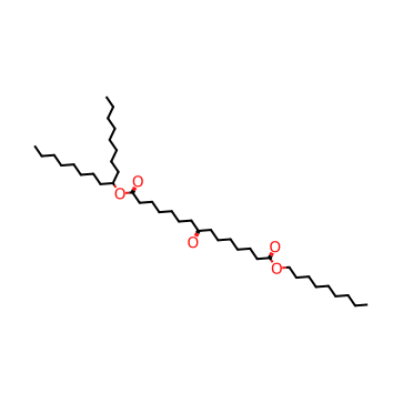 CCCCCCCCCOC(=O)CCCCCCC(=O)CCCCCCC(=O)OC(CCCCCCCC)CCCCCCCC